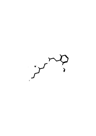 C=NC(CCCSO)CCNC(C)CCc1c(F)cccc1NC=O